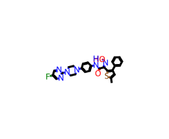 Cc1cc(-c2ccccc2)c(C(=NO)C(=O)Nc2ccc(N3CCN(c4ncc(F)cn4)CC3)cc2)s1